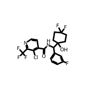 O=C(NC(c1cccc(F)c1)C1(O)CCC(F)(F)CC1)c1ccnc(C(F)(F)F)c1Cl